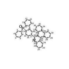 O=P(c1ccccc1)(c1ccccc1)c1ccc(-c2nc3ccccc3c3c4ccccc4c4ccccc4c23)cc1